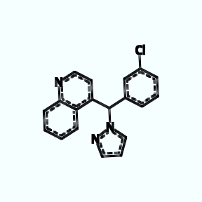 Clc1cccc(C(c2ccnc3ccccc23)n2cccn2)c1